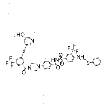 O=C(NS(=O)(=O)c1ccc(NCCSc2ccccc2)c(C(F)(F)F)c1)c1ccc(N2CCN(C(=O)c3cc(C#Cc4cncc(O)c4)cc(C(F)(F)F)c3)CC2)cc1